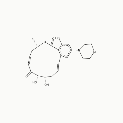 C[C@H]1C/C=C\C(=O)[C@@H](O)[C@@H](O)C/C=C/c2cc(N3CCNCC3)cc(O)c2C(=O)O1